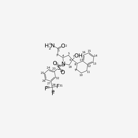 NC(=O)CC1CC(O)(C2CCCc3ccccc32)CN1S(=O)(=O)c1cccc(C(F)(F)F)c1